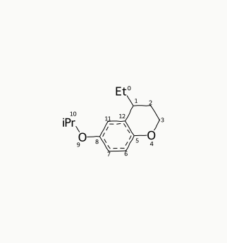 CCC1CCOc2ccc(OC(C)C)cc21